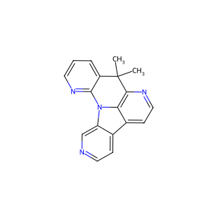 CC1(C)c2cccnc2-n2c3cnccc3c3ccnc1c32